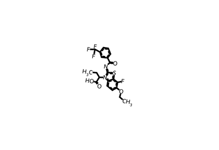 CCOc1ccc2c(sc(=NC(=O)c3cccc(C(F)(F)F)c3)n2C(CC)C(=O)O)c1F